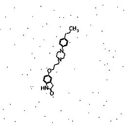 CCCc1ccc(N2CCN(CCCOc3ccc4c(c3)CC(=O)N4)CC2)cc1